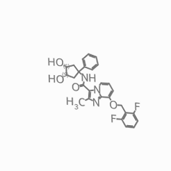 Cc1nc2c(OCc3c(F)cccc3F)cccn2c1C(=O)NC1(c2ccccc2)C[C@H](O)[C@@H](O)C1